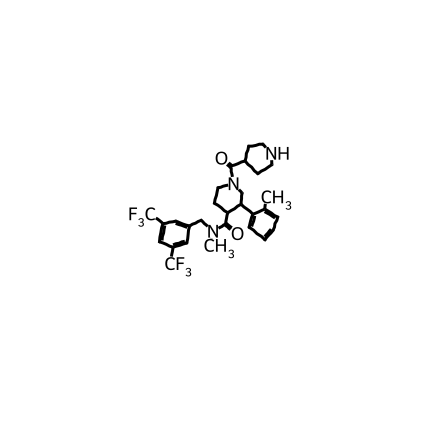 Cc1ccccc1C1CN(C(=O)C2CCNCC2)CCC1C(=O)N(C)Cc1cc(C(F)(F)F)cc(C(F)(F)F)c1